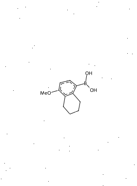 COc1ccc(B(O)O)c2c1CCCC2